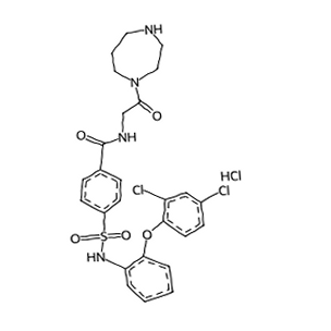 Cl.O=C(NCC(=O)N1CCCNCC1)c1ccc(S(=O)(=O)Nc2ccccc2Oc2ccc(Cl)cc2Cl)cc1